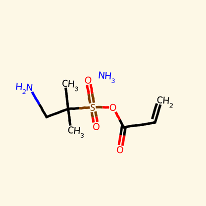 C=CC(=O)OS(=O)(=O)C(C)(C)CN.N